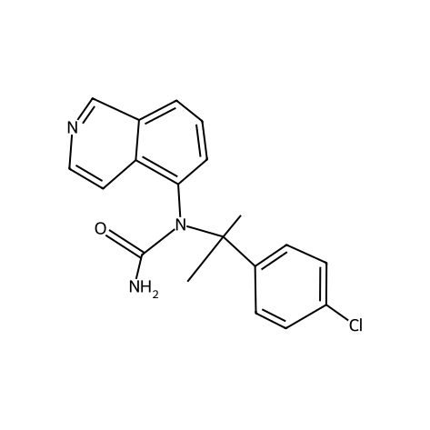 CC(C)(c1ccc(Cl)cc1)N(C(N)=O)c1cccc2cnccc12